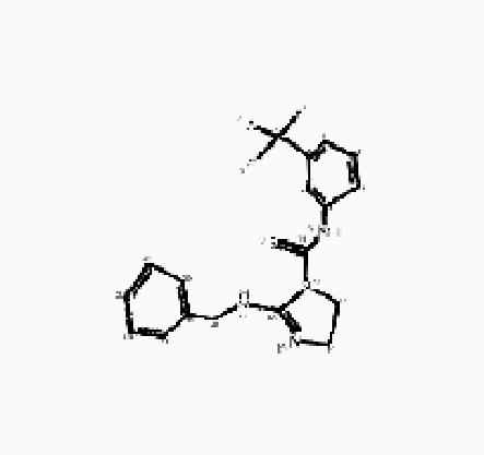 FC(F)(F)c1cccc(NC(=S)N2CCN=C2NCc2ccccc2)c1